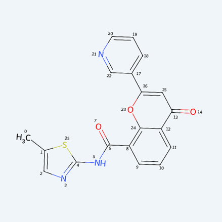 Cc1cnc(NC(=O)c2cccc3c(=O)cc(-c4cccnc4)oc23)s1